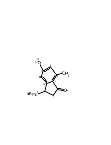 CCCCCC1CC(=O)c2c(C)cc(O)cc21